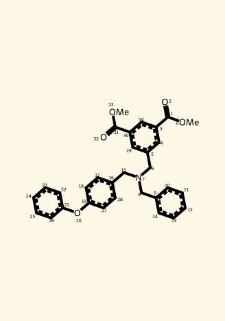 COC(=O)c1cc(CN(Cc2ccccc2)Cc2ccc(Oc3ccccc3)cc2)cc(C(=O)OC)c1